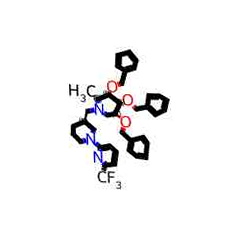 C[C@@H]1[C@@H](OCc2ccccc2)[C@H](OCc2ccccc2)[C@@H](OCc2ccccc2)CN1C[C@@H]1CCCN(c2cccc(C(F)(F)F)n2)C1